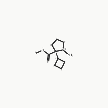 COC(=O)[C@]1(C2CCC2)CCCN1N